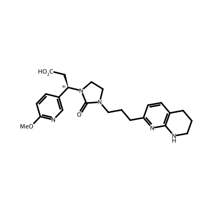 COc1ccc([C@@H](CC(=O)O)N2CCN(CCCc3ccc4c(n3)NCCC4)C2=O)cn1